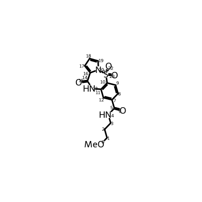 COCCCNC(=O)c1ccc2c(c1)NC(=O)c1cccn1S2(=O)=O